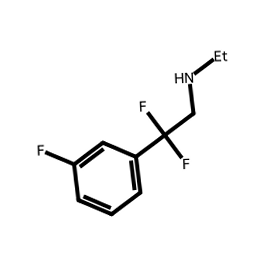 CCNCC(F)(F)c1cccc(F)c1